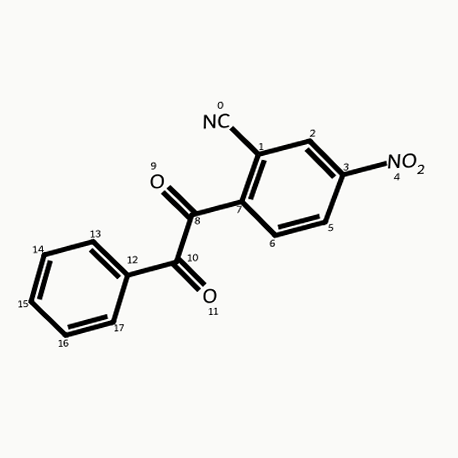 N#Cc1cc([N+](=O)[O-])ccc1C(=O)C(=O)c1ccccc1